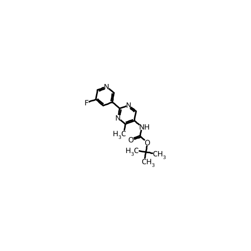 Cc1nc(-c2cncc(F)c2)ncc1NC(=O)OC(C)(C)C